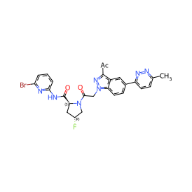 CC(=O)c1nn(CC(=O)N2C[C@H](F)C[C@H]2C(=O)Nc2cccc(Br)n2)c2ccc(-c3ccc(C)nn3)cc12